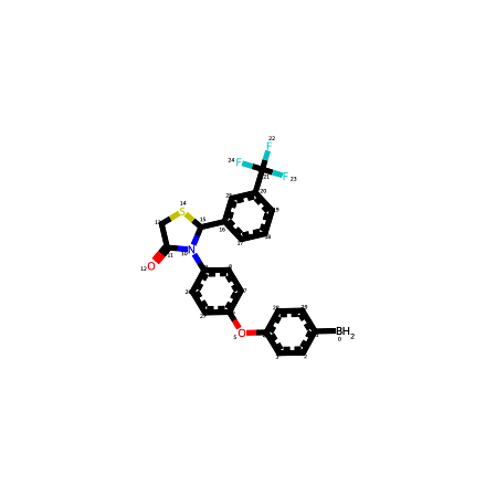 Bc1ccc(Oc2ccc(N3C(=O)CSC3c3cccc(C(F)(F)F)c3)cc2)cc1